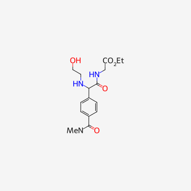 CCOC(=O)CNC(=O)C(NCCO)c1ccc(C(=O)NC)cc1